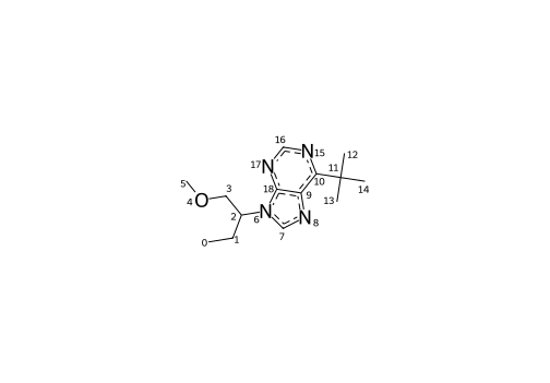 CCC(COC)n1cnc2c(C(C)(C)C)ncnc21